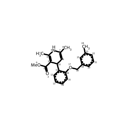 COC(=O)C1=C(C)NC(C)=CC1c1ccccc1OCc1cccc(C)c1